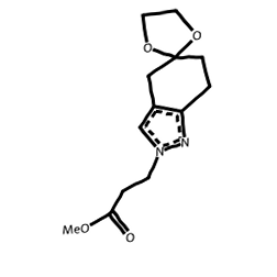 COC(=O)CCn1cc2c(n1)CCC1(C2)OCCO1